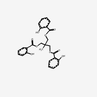 CC(COC(=O)c1ccccc1O)(COC(=O)c1ccccc1O)COC(=O)c1ccccc1O